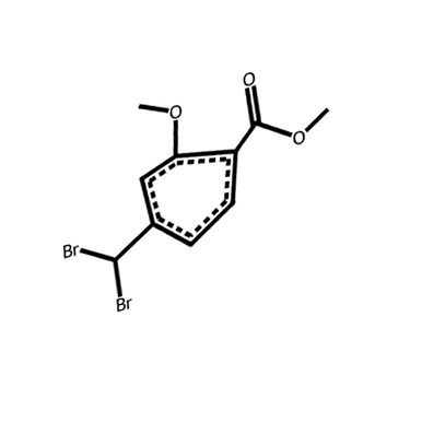 COC(=O)c1ccc(C(Br)Br)cc1OC